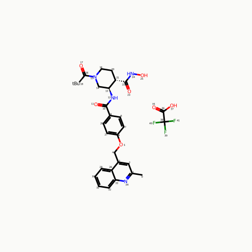 Cc1cc(COc2ccc(C(=O)N[C@H]3CN(C(=O)C(C)(C)C)CC[C@@H]3C(=O)NO)cc2)c2ccccc2n1.O=C(O)C(F)(F)F